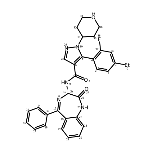 CCc1ccc(-c2c(C(=O)N[C@H]3N=C(c4ccccc4)c4ccccc4NC3=O)cnn2C2CCOCC2)c(F)c1